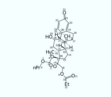 CCCOC(=O)O[C@]1(C(=O)COC(=O)CC)CC[C@H]2[C@@H]3CCC4=CC(=O)C=C[C@]4(C)[C@H]3C(O)C[C@@]21C